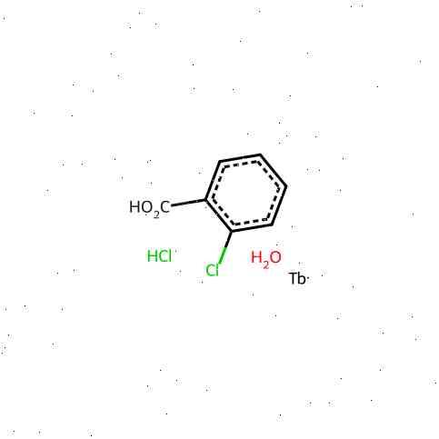 Cl.O.O=C(O)c1ccccc1Cl.[Tb]